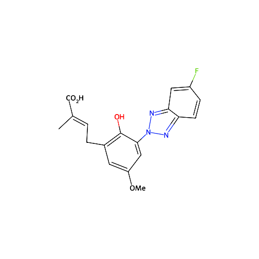 COc1cc(C/C=C(\C)C(=O)O)c(O)c(-n2nc3ccc(F)cc3n2)c1